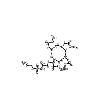 CC(C)(C)OC(=O)CN1CCN(CC(=O)OC(C)(C)C)CCN(C(CCC(=O)NS(=O)(=O)CCCN)C(=O)OC(C)(C)C)CCN(CC(=O)OC(C)(C)C)CC1